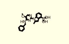 COc1cnc(-n2c(C)cc3c(B(O)O)cccc32)nc1NCc1ccccc1